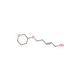 OCC=CCCOC1CCCOC1